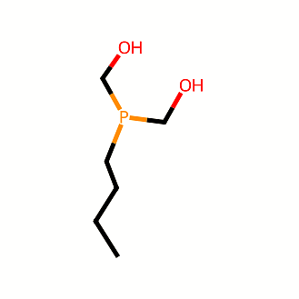 CCCCP(CO)CO